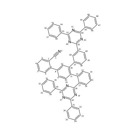 N#Cc1ccccc1-c1ccc(-c2ccccc2-c2nc(-c3ccccc3)nc(-c3ccccc3)n2)c(-c2cccc(-c3nc(-c4ccccc4)nc(-c4ccccc4)n3)c2)c1